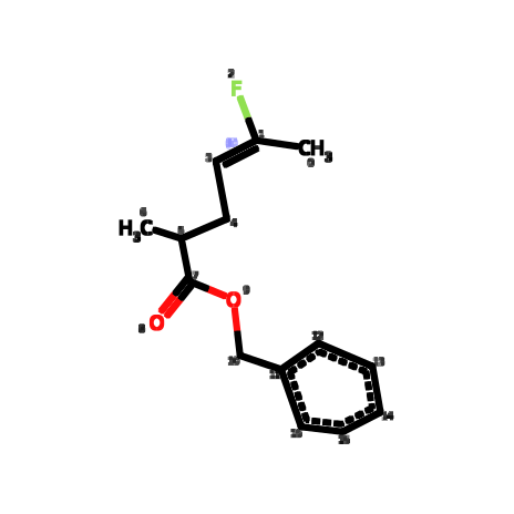 C/C(F)=C\CC(C)C(=O)OCc1ccccc1